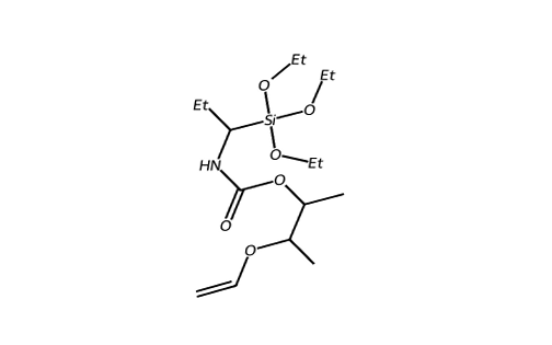 C=COC(C)C(C)OC(=O)NC(CC)[Si](OCC)(OCC)OCC